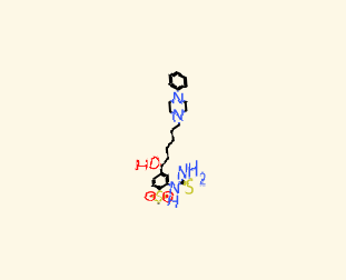 CS(=O)(=O)c1ccc(C(O)CCCCCN2CCN(c3ccccc3)CC2)cc1NC(N)=S